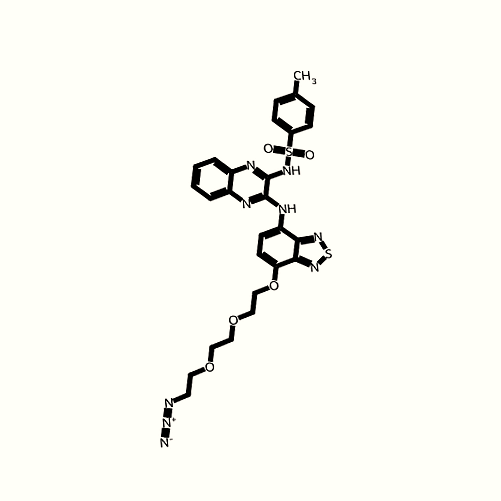 Cc1ccc(S(=O)(=O)Nc2nc3ccccc3nc2Nc2ccc(OCCOCCOCCN=[N+]=[N-])c3nsnc23)cc1